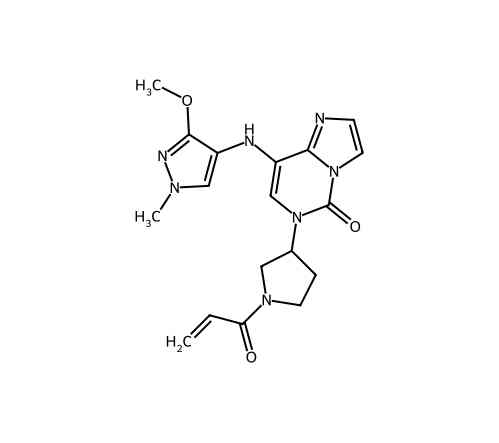 C=CC(=O)N1CCC(n2cc(Nc3cn(C)nc3OC)c3nccn3c2=O)C1